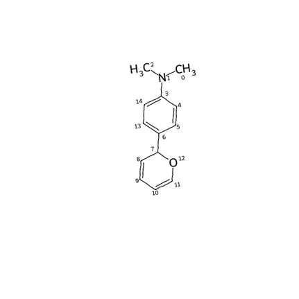 CN(C)c1ccc(C2C=CC=CO2)cc1